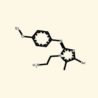 CCOc1ccc(N=c2sc(C(C)=O)c(C)n2CCN)cc1